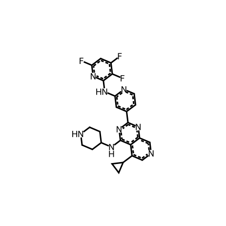 Fc1cc(F)c(F)c(Nc2cc(-c3nc(NC4CCNCC4)c4c(C5CC5)cncc4n3)ccn2)n1